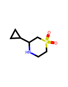 O=S1(=O)CCNC(C2CC2)C1